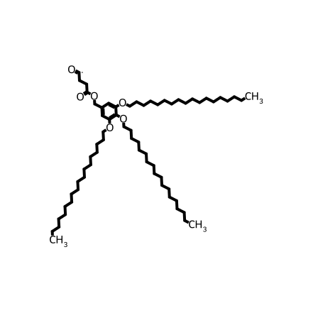 CCCCCCCCCCCCCCCCCCOc1cc(COC(=O)CC[C]=O)cc(OCCCCCCCCCCCCCCCCCC)c1OCCCCCCCCCCCCCCCCCC